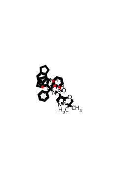 CC1(C)COc2c(S(=O)(=NC(c3ccccc3)(c3ccccc3)c3ccccc3)NC(=O)Nc3c4c(cc5c3CC5)CCC4)cnn21